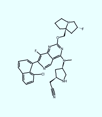 CN(c1nc(OC[C@@]23CCCN2C[C@H](F)C3)nc2c(F)c(-c3cccc4cccc(Cl)c34)ncc12)[C@H]1CN[C@@H](CC#N)C1